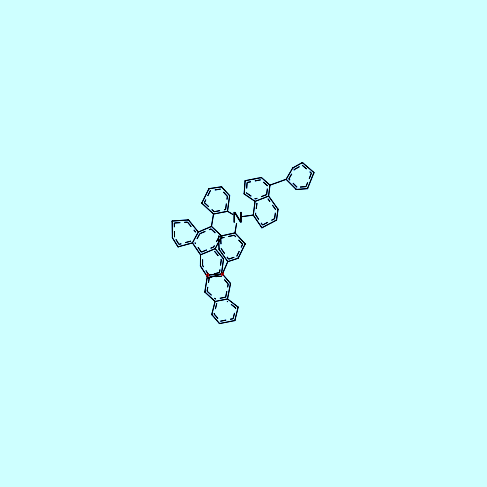 c1ccc(-c2cccc3c(N(c4ccc(-c5ccc6ccccc6c5)cc4)c4ccccc4-c4cc5ccccc5c5ccccc45)cccc23)cc1